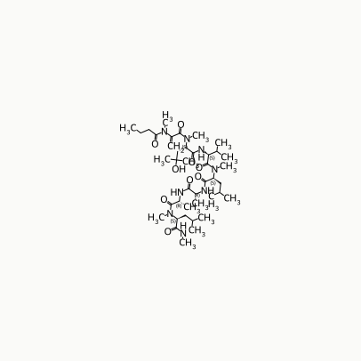 C=C(C(=O)N(C)[C@@H](CC(C)(C)O)C(=O)N[C@H](C(=O)N(C)[C@@H](CC(C)C)C(=O)N[C@H](C)C(=O)N[C@H](C)C(=O)N(C)[C@@H](CC(C)C)C(=O)NC)C(C)C)N(C)C(=O)CCC